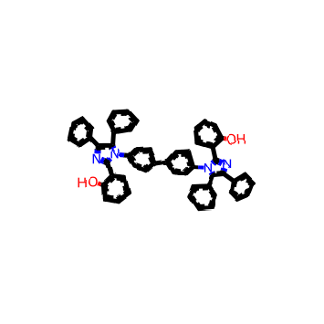 Oc1ccccc1-c1nc(-c2ccccc2)c(-c2ccccc2)n1-c1ccc(-c2ccc(-n3c(-c4ccccc4O)nc(-c4ccccc4)c3-c3ccccc3)cc2)cc1